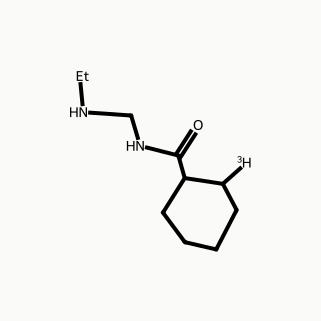 [3H]C1CCCCC1C(=O)NCNCC